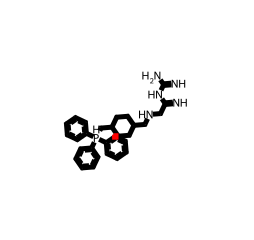 N=C(N)NC(=N)CNCC1CCC(C[PH](c2ccccc2)(c2ccccc2)c2ccccc2)CC1